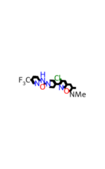 CNC(=O)C(C)Cc1cnc(C2=CCN(C(=O)Nc3ccc(C(F)(F)F)cn3)CC2)c(Cl)c1